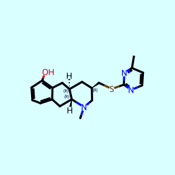 Cc1ccnc(SC[C@@H]2C[C@@H]3Cc4c(O)cccc4C[C@H]3N(C)C2)n1